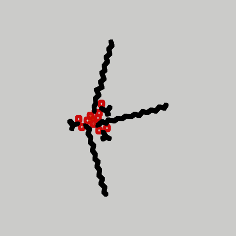 C=C(C)C(=O)OC(CCCCCCCCCCCCCCCCC)OP(=O)(OC(CCCCCCCCCCCCCCCCC)OC(=O)C(=C)C)OC(CCCCCCCCCCCCCCCCC)OC(=O)C(=C)C